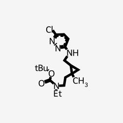 CCN(CCC1(C)CC1CNc1ccc(Cl)nn1)C(=O)OC(C)(C)C